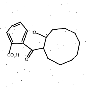 O=C(O)c1ccccc1C(=O)C1CCCCCCCCC1O